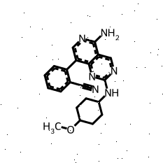 COC1CCC(Nc2ncc3c(N)ncc(-c4ccccc4C#N)c3n2)CC1